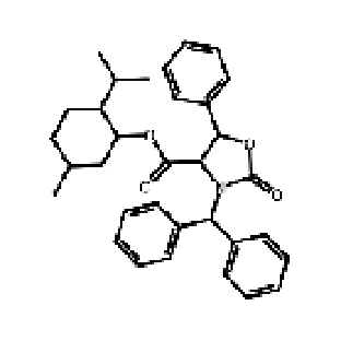 CC1CCC(C(C)C)C(OC(=O)C2C(c3ccccc3)OC(=O)N2C(c2ccccc2)c2ccccc2)C1